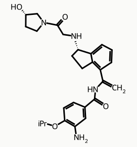 C=C(NC(=O)c1ccc(OC(C)C)c(N)c1)c1cccc2c1CC[C@@H]2NCC(=O)N1CC[C@H](O)C1